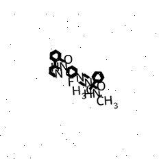 CCNC(=O)C(C)(c1ccccc1)N1CCN(c2ccc(NC(=O)c3ccccc3-c3cccnc3)cc2F)CC1